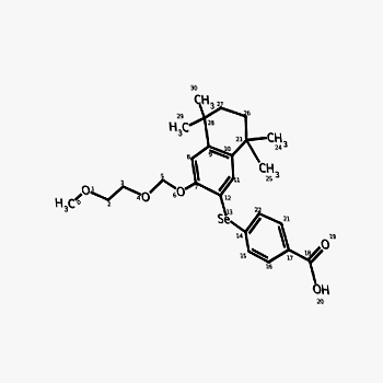 COCCOCOc1cc2c(cc1[Se]c1ccc(C(=O)O)cc1)C(C)(C)CCC2(C)C